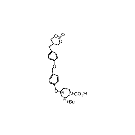 CC(C)(C)[C@@H]1C[C@H](Oc2ccc(COc3ccc(CC4COS(=O)OC4)cc3)cc2)CCN1C(=O)O